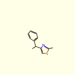 Cc1nc(C(C)c2ccccc2)cs1